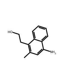 Cc1cc(N)c2ccccc2c1CCO